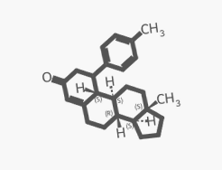 Cc1ccc(C2CC(=O)C=C3CC[C@@H]4[C@H](CC[C@]5(C)CCC[C@@H]45)[C@H]32)cc1